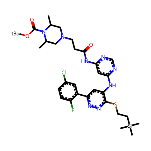 CC1CN(CCC(=O)Nc2cc(Nc3cc(-c4cc(Cl)ccc4F)nnc3SCC[Si](C)(C)C)ncn2)CC(C)N1C(=O)OC(C)(C)C